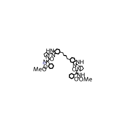 COO/C=N\[C@@H](C(=O)N1CCC[C@H]1c1nc2cc(CC=CCc3ccc4[nH]c([C@@H]5CCCN5C(=O)[C@H](NC(=O)OC)c5ccccc5)nc4c3)ccc2[nH]1)c1ccccc1